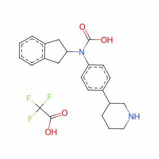 O=C(O)C(F)(F)F.O=C(O)N(c1ccc(C2CCCNC2)cc1)C1Cc2ccccc2C1